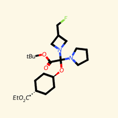 CCOC(=O)[C@H]1CC[C@H](OC(C(=O)OC(C)(C)C)(N2CCCC2)N2CC(CF)C2)CC1